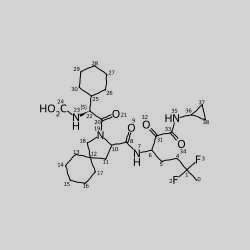 CC(F)(F)CCC(NC(=O)C1CC2(CCCCC2)CN1C(=O)[C@@H](NC(=O)O)C1CCCCC1)C(=O)C(=O)NC1CC1